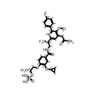 CCOc1c(CC(N)=O)cc([C@@H](CNC(=O)c2ccc(OC[C@@H](C)OP(=O)(O)O)c(OC3CC3)c2)C(F)(F)F)nc1-c1ccc(F)cc1